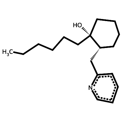 CCCCCC[C@@]1(O)CCCC[C@@H]1Cc1ccccn1